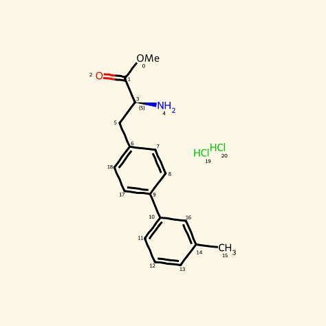 COC(=O)[C@@H](N)Cc1ccc(-c2cccc(C)c2)cc1.Cl.Cl